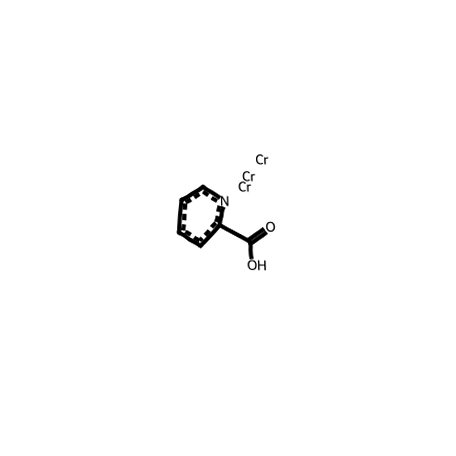 O=C(O)c1ccccn1.[Cr].[Cr].[Cr]